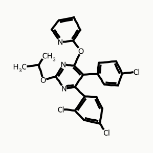 CC(C)Oc1nc(Oc2ccccn2)c(-c2ccc(Cl)cc2)c(-c2ccc(Cl)cc2Cl)n1